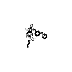 CCCC[S+]([O-])c1ncc2[nH]c(=O)n(Cc3cccc(CN4CCCC4)c3)c2n1